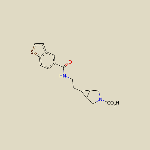 O=C(NCCC1C2CN(C(=O)O)CC12)c1ccc2sccc2c1